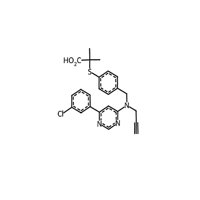 C#CCN(Cc1ccc(SC(C)(C)C(=O)O)cc1)c1cc(-c2cccc(Cl)c2)ncn1